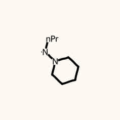 CCC[N]N1CCCCC1